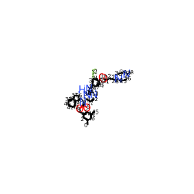 Cc1cc(C)c(OC(=O)N(c2ccnc(Nc3ccc(OCCCN4CCN(C)CC4)c(F)c3)n2)C2CCc3ccccc32)c(C)c1